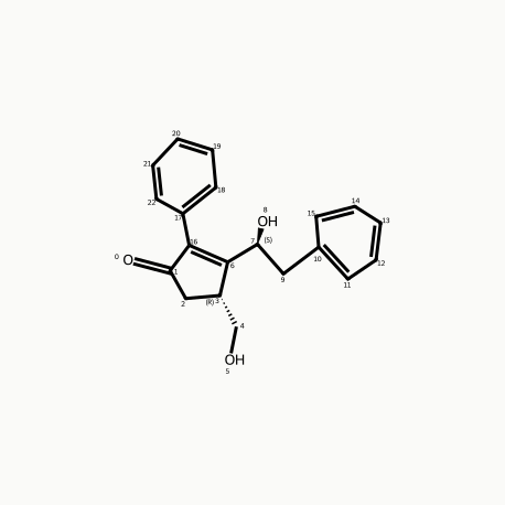 O=C1C[C@@H](CO)C([C@@H](O)Cc2ccccc2)=C1c1ccccc1